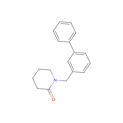 O=C1CCCCN1Cc1cccc(-c2ccccc2)c1